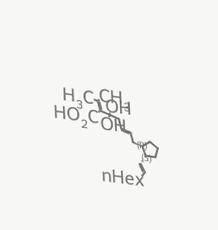 CCCCCCC=C[C@H]1CCC[C@@H]1CC=CCC(O)(O)C(C(=O)O)=C(C)C